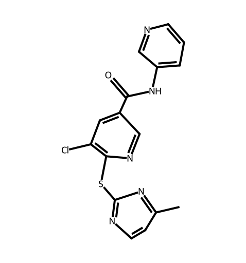 Cc1ccnc(Sc2ncc(C(=O)Nc3cccnc3)cc2Cl)n1